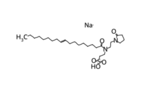 CCCCCCCCC=CCCCCCCCC(=O)N(CCN1CCCC1=O)CCS(=O)(=O)O.[Na]